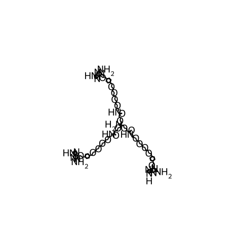 Nc1nc(OCc2ccc(COCCOCCOCCOCCNC(=O)CCOCC(N)(COCCC(=O)NCCOCCOCCOCCOCc3ccc(COc4nc(N)nc5[nH]cnc45)cc3)COCCC(=O)NCCOCCOCCOCCOCc3ccc(COc4nc(N)nc5[nH]cnc45)cc3)cc2)c2nc[nH]c2n1